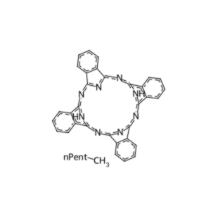 CCCCCC.c1ccc2c(c1)-c1nc-2nc2[nH]c(nc3nc(nc4[nH]c(n1)c1ccccc41)-c1ccccc1-3)c1ccccc21